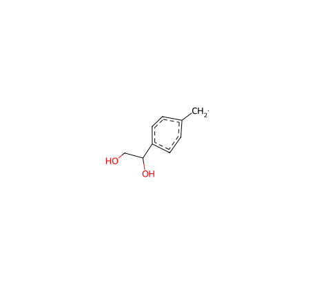 [CH2]c1ccc(C(O)CO)cc1